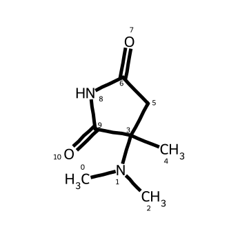 CN(C)C1(C)CC(=O)NC1=O